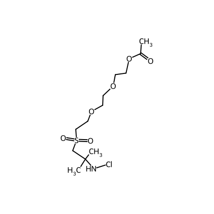 CC(=O)OCCOCCOCCS(=O)(=O)CC(C)(C)NCl